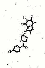 CCn1c(=O)c2c(nc(C)n2Cc2ccc(C(=O)c3ccc(Cl)cc3)cc2)n(C)c1=O